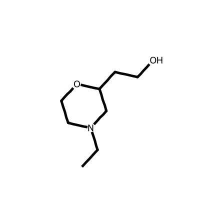 CCN1CCOC(CCO)C1